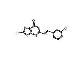 O=c1cc(/C=C/c2cccc(Cl)c2)nc2sc(Cl)nn12